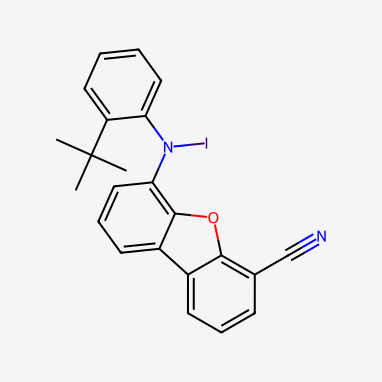 CC(C)(C)c1ccccc1N(I)c1cccc2c1oc1c(C#N)cccc12